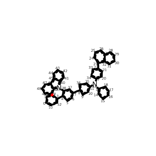 c1ccc(-c2ccc(-c3ccc(N(c4ccccc4)c4ccc(-c5cccc6ccccc56)cc4)cc3)cc2-n2c3ccccc3c3ccccc32)cc1